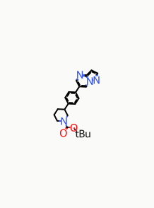 CC(C)(C)OC(=O)N1CCCC(c2ccc(-c3cnc4ccnn4c3)cc2)C1